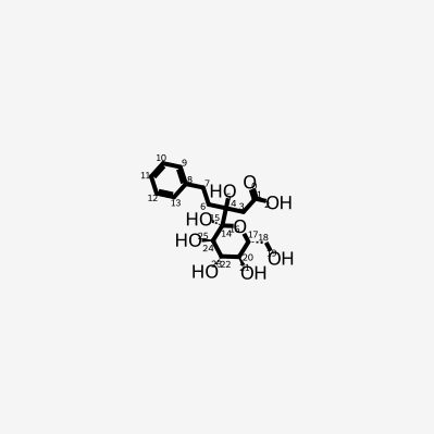 O=C(O)CC(O)(CCc1ccccc1)[C@@]1(O)O[C@H](CO)[C@@H](O)[C@H](O)[C@H]1O